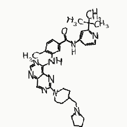 Cc1ccc(C(=O)Nc2ccnc(C(C)(C)C)c2)cc1Nc1ncnc2cnc(N3CCC(CN4CCCC4)CC3)nc12